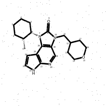 C[C@@H]1CCCC[C@@H]1n1c(=O)n(CC2CCOCC2)c2cnc3[nH]ccc3c21